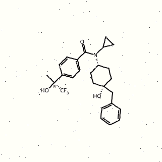 C[C@](O)(c1ccc(C(=O)N(C2CC2)[C@H]2CC[C@](O)(Cc3ccccc3)CC2)cc1)C(F)(F)F